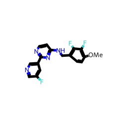 COc1ccc(CNc2ccnc(-c3cncc(F)c3)n2)c(F)c1F